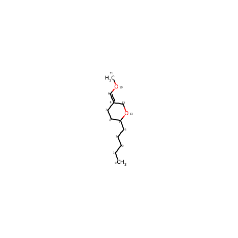 CCCCCC1CCC(=COC)CO1